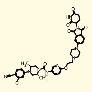 C[C@@H]1CN(c2ccc(C#N)c(Cl)c2)[C@@H](C)CN1C(=O)Nc1ccc(OCCN2CCN(c3ccc4c(c3)C(=O)N(C3CCC(=O)NC3=O)C4=O)CC2)nc1